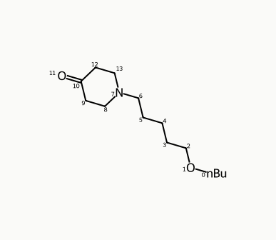 CCCCOCCCCCN1CCC(=O)CC1